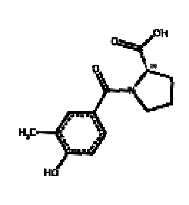 Cc1cc(C(=O)N2CCC[C@H]2C(=O)O)ccc1O